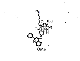 C/C=C\CCCCCN(NC(=O)OC(C)(C)C)C(=O)N1C[C@H](Oc2cc(-c3ccccc3)nc3cc(OC)ccc23)C[C@H]1C(=O)NC1(C(=O)O)CC1